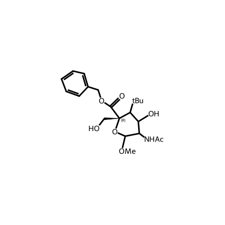 COC1O[C@](CO)(C(=O)OCc2ccccc2)C(C(C)(C)C)C(O)C1NC(C)=O